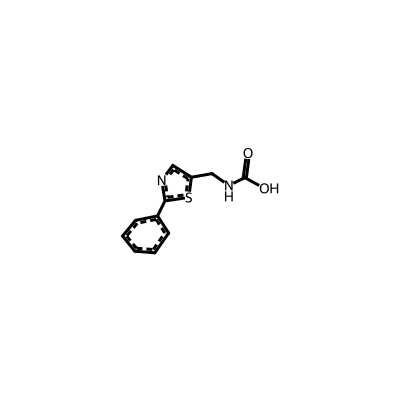 O=C(O)NCc1cnc(-c2ccccc2)s1